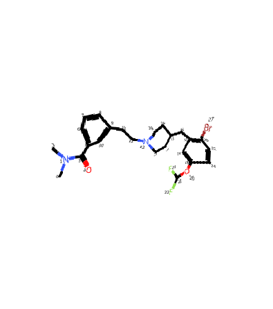 CN(C)C(=O)c1cccc(CCN2CCC(Cc3cc(OC(F)F)ccc3Br)CC2)c1